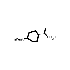 CCCCC[C@H]1CC[C@H](C(C)C(=O)O)CC1